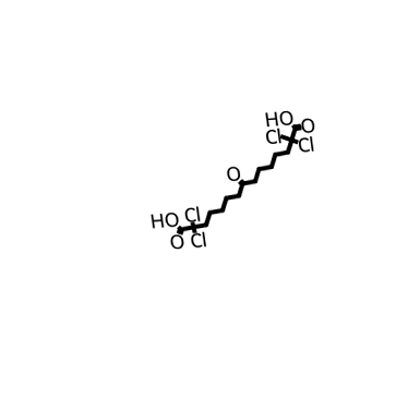 O=C(CCCCCC(Cl)(Cl)C(=O)O)CCCCCC(Cl)(Cl)C(=O)O